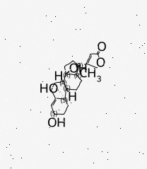 C[C@]12CC[C@H]3[C@@H](CCC4=C[C@@H](O)CC[C@@]43CO)[C@]1(O)CC[C@@H]2C1=CC(=O)OC1